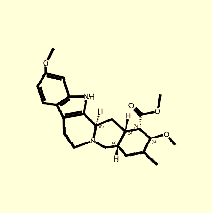 COC(=O)[C@H]1[C@H]2C[C@@H]3c4[nH]c5cc(OC)ccc5c4CCN3C[C@H]2CC(C)[C@@H]1OC